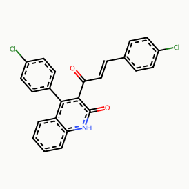 O=C(/C=C/c1ccc(Cl)cc1)c1c(-c2ccc(Cl)cc2)c2ccccc2[nH]c1=O